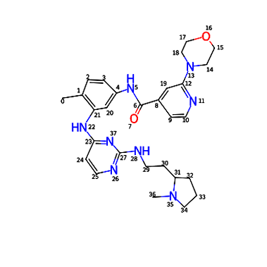 Cc1ccc(NC(=O)c2ccnc(N3CCOCC3)c2)cc1Nc1ccnc(NCCC2CCCN2C)n1